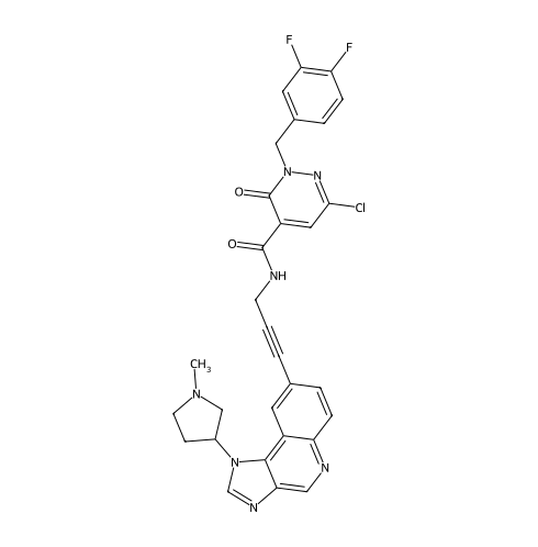 CN1CCC(n2cnc3cnc4ccc(C#CCNC(=O)c5cc(Cl)nn(Cc6ccc(F)c(F)c6)c5=O)cc4c32)C1